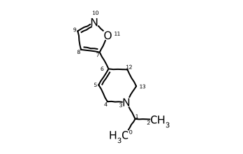 CC(C)N1CC=C(c2ccno2)CC1